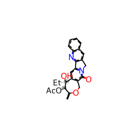 C=C1OCc2c(cc3n(c2=O)Cc2cc4ccccc4nc2-3)[C@@](O)(CC)[C@H]1OC(C)=O